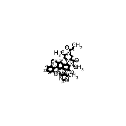 C=CC(=O)N1CC2C(=O)N(C)c3c(c4cc(Cl)c(-c5c(F)cccc5OC)c(F)c4n(-c4c(C)ncnc4C(C)C)c3=O)N2CC1C